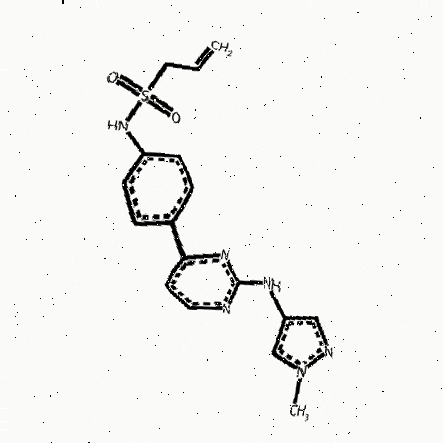 C=CCS(=O)(=O)Nc1ccc(-c2ccnc(Nc3cnn(C)c3)n2)cc1